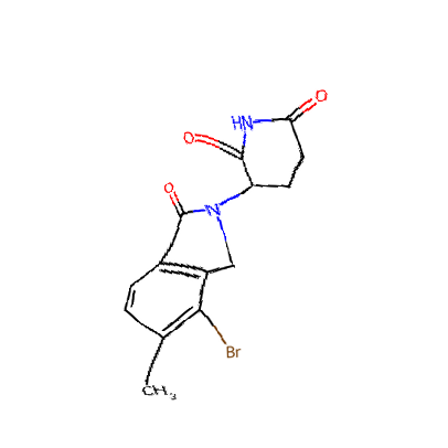 Cc1ccc2c(c1Br)CN(C1CCC(=O)NC1=O)C2=O